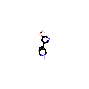 COc1cncc(C2=CC3CNCC2C3)c1